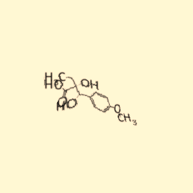 CC[C@](O)(C(=O)O)[C@@H](O)c1ccc(OC)cc1